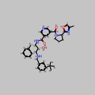 Cc1coc(C2CCCN2C(=O)c2cncc(C(=O)N[C@@H](Cc3ccccc3)[C@H](O)CNCc3cccc(C(C)(C)C)c3)c2)n1